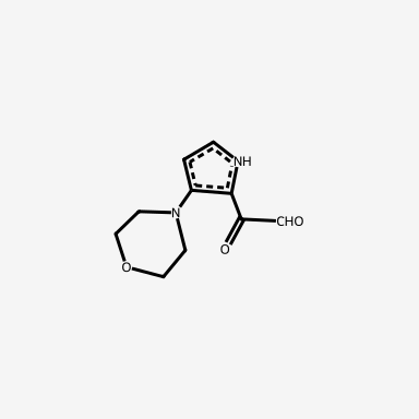 O=CC(=O)c1[nH]ccc1N1CCOCC1